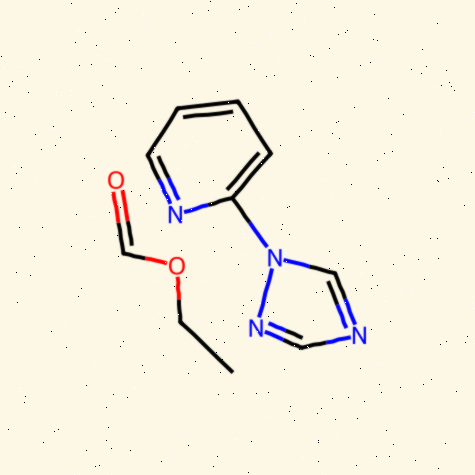 CCOC=O.c1ccc(-n2cncn2)nc1